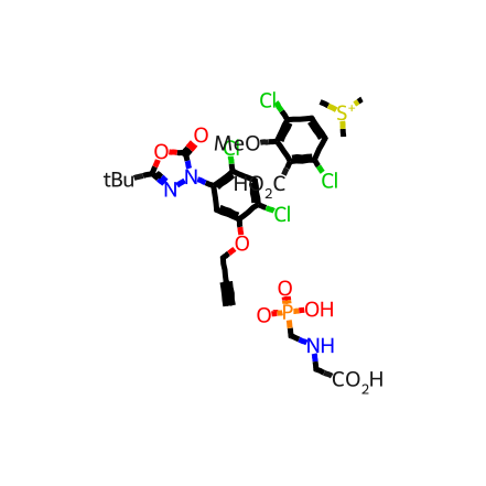 C#CCOc1cc(-n2nc(C(C)(C)C)oc2=O)c(Cl)cc1Cl.COc1c(Cl)ccc(Cl)c1C(=O)O.C[S+](C)C.O=C(O)CNCP(=O)([O-])O